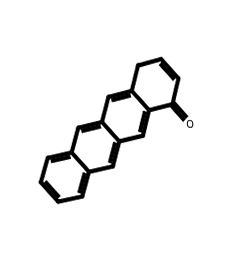 O=C1C=CCc2cc3cc4ccccc4cc3cc21